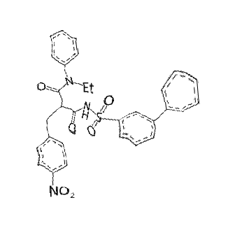 CCN(C(=O)C(Cc1ccc([N+](=O)[O-])cc1)C(=O)NS(=O)(=O)c1cccc(-c2ccccc2)c1)c1ccccc1